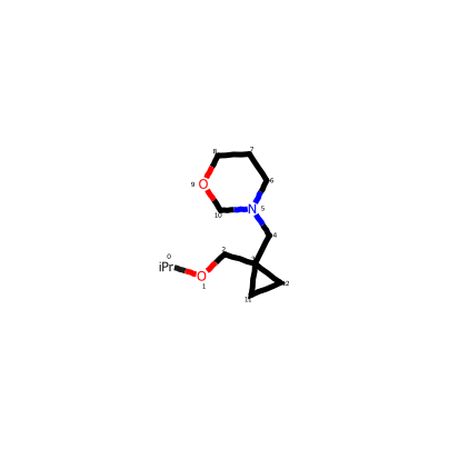 CC(C)OCC1(CN2CCCOC2)CC1